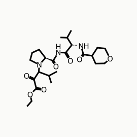 CCOC(=O)C(=O)C(C(C)C)N1CCC[C@H]1C(=O)NC(=O)[C@@H](NC(=O)C1CCOCC1)C(C)C